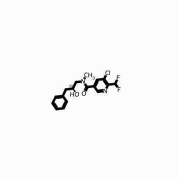 CN(C[C@@H](O)Cc1ccccc1)C(=O)c1cnc(C(F)F)c(Cl)c1